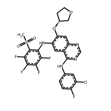 CS(=O)(=O)c1c(F)c(F)c(F)c(F)c1Nc1cc2c(Nc3ccc(F)c(Cl)c3)ncnc2cc1O[C@H]1CCOC1